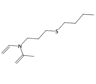 C=CN(CCCSCCCC)C(=C)C